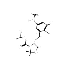 CC(=O)Nc1cc(F)c(C)c(CC[C@H]2COC(C)(C)N2C(=O)OC(C)C)c1